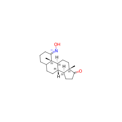 C[C@]12/C(=N/O)CCCC1CC[C@@H]1[C@@H]2CC[C@]2(C)C(=O)CC[C@@H]12